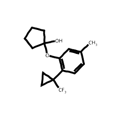 Cc1ccc(C2(C(F)(F)F)CC2)c(OC2(O)CCCC2)c1